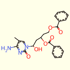 Cc1cn(C(O)CC(CCOC(=O)c2ccccc2)OC(=O)c2ccccc2)c(=O)nc1N